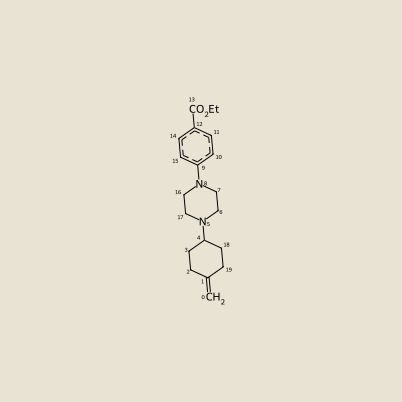 C=C1CCC(N2CCN(c3ccc(C(=O)OCC)cc3)CC2)CC1